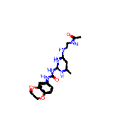 CC(=O)NCCNC1CC(C)NC(NC(=O)Nc2ccc3c(c2)OCCO3)N1